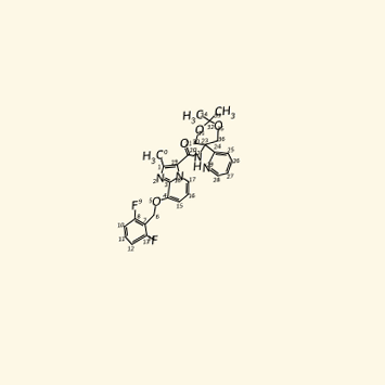 Cc1nc2c(OCc3c(F)cccc3F)cccn2c1C(=O)NC1(c2ccccn2)COC(C)(C)OC1